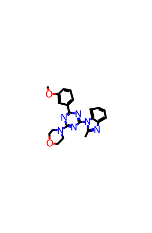 COc1cccc(-c2nc(N3CCOCC3)nc(-n3c(C)nc4ccccc43)n2)c1